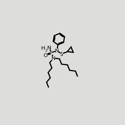 CCCCCCN(CCCCCC)P(N)(=O)N(SC1CC1)c1ccccc1